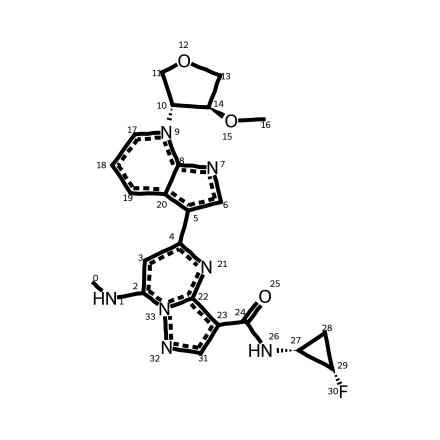 CNc1cc(-c2cnc3n([C@@H]4COC[C@H]4OC)cccc2-3)nc2c(C(=O)N[C@@H]3C[C@@H]3F)cnn12